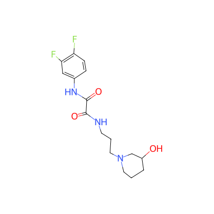 O=C(NCCCN1CCCC(O)C1)C(=O)Nc1ccc(F)c(F)c1